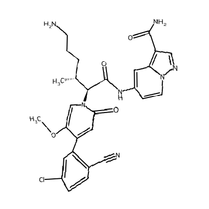 COc1cn([C@H](C(=O)Nc2ccn3ncc(C(N)=O)c3c2)[C@H](C)CCCN)c(=O)cc1-c1cc(Cl)ccc1C#N